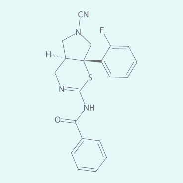 N#CN1C[C@@H]2CN=C(NC(=O)c3ccccc3)S[C@@]2(c2ccccc2F)C1